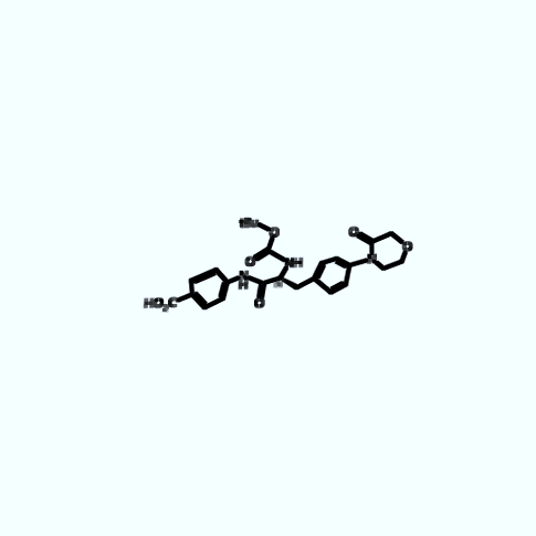 CC(C)(C)OC(=O)N[C@@H](Cc1ccc(N2CCOCC2=O)cc1)C(=O)Nc1ccc(C(=O)O)cc1